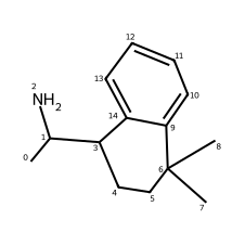 CC(N)C1CCC(C)(C)c2ccccc21